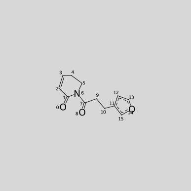 O=C1C=CCCN1C(=O)CCc1ccoc1